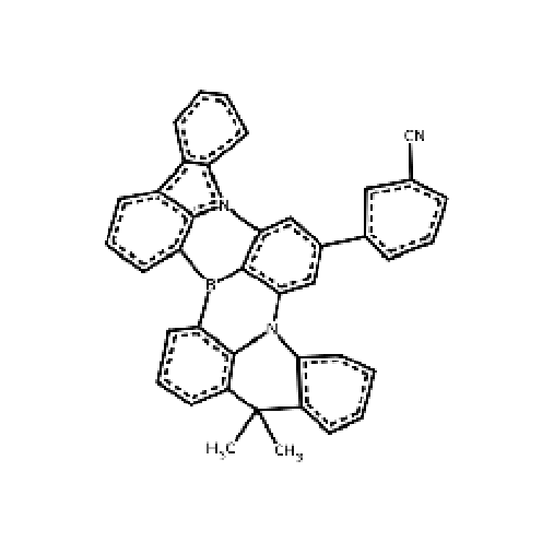 CC1(C)c2ccccc2N2c3cc(-c4cccc(C#N)c4)cc4c3B(c3cccc1c32)c1cccc2c3ccccc3n-4c12